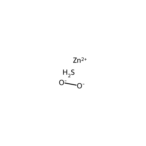 S.[O-][O-].[Zn+2]